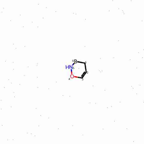 [B]1CC=CON1